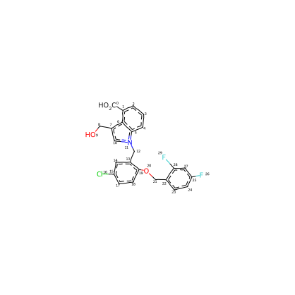 O=C(O)c1cccc2c1c(CO)cn2Cc1cc(Cl)ccc1OCc1ccc(F)cc1F